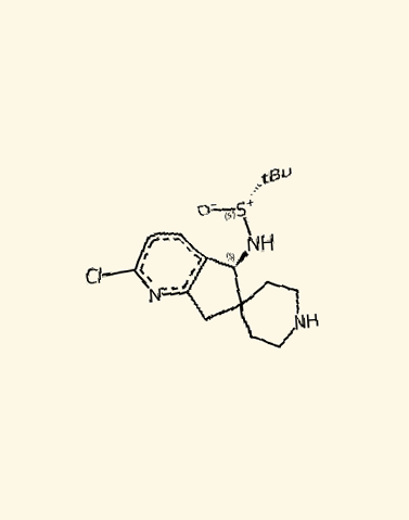 CC(C)(C)[S@@+]([O-])N[C@@H]1c2ccc(Cl)nc2CC12CCNCC2